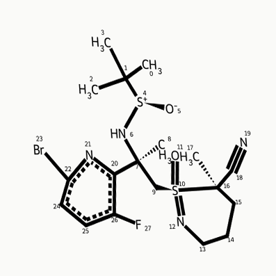 CC(C)(C)[S@@+]([O-])N[C@@](C)(C[S@]1(=O)=NCCC[C@]1(C)C#N)c1nc(Br)ccc1F